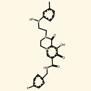 CCCN(CCN1CCn2cc(C(=O)NCc3ccc(F)cc3)c(=O)c(O)c2C1=O)c1cccc(C)c1